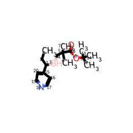 CCC(BCC(C)(C)C(=O)OC(C)(C)C)c1ccncc1